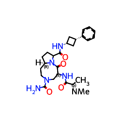 CN[C@@H](C)C(=O)N[C@H]1CN(C(N)=O)CC[C@H]2CCC(C(=O)N[C@H]3C[C@@H](c4ccccc4)C3)N2C1=O